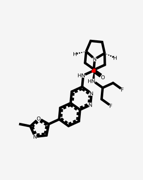 Cc1ncc(-c2ccc3nnc(NC(=O)N4[C@@H]5CC[C@H]4C[C@@H](NC(CF)CF)C5)cc3c2)o1